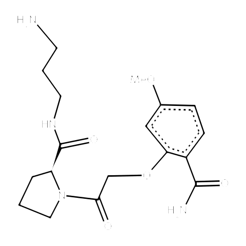 COc1ccc(C(N)=O)c(OCC(=O)N2CCC[C@H]2C(=O)NCCCN)c1